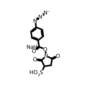 [N-]=[N+]=Nc1ccc(C(=O)ON2C(=O)CC(S(=O)(=O)O)C2=O)cc1.[NaH]